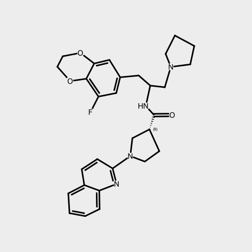 O=C(NC(Cc1cc(F)c2c(c1)OCCO2)CN1CCCC1)[C@@H]1CCN(c2ccc3ccccc3n2)C1